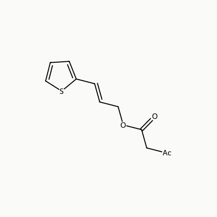 CC(=O)CC(=O)OC/C=C/c1cccs1